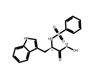 O=C(NO)[C@@H](Cc1c[nH]c2ccccc12)NS(=O)(=O)c1ccccc1